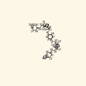 C[Si](C)(CCc1ccc(CC[Si](C)(C)O[Si](C)(C)CCC2CCC3OC3C2)cc1)O[Si](C)(C)CCC1CCC2CC2C1